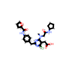 CN(CC(=O)NC1CCCC1)c1nc(Cc2ccc(NC(=O)c3ccco3)cc2)nc(Cl)c1CC(=O)O